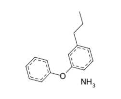 CCCc1cccc(Oc2ccccc2)c1.N